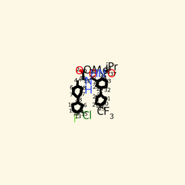 COC(=O)[C@@H](Cc1ccc(-c2ccc(F)c(Cl)c2)cc1)NC(=O)c1cc(-c2ccc(C(F)(F)F)cc2)ccc1NC(=O)C(C)C